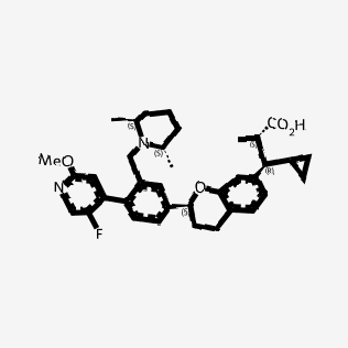 COc1cc(-c2ccc([C@@H]3CCc4ccc([C@H](C5CC5)[C@H](C)C(=O)O)cc4O3)cc2CN2[C@@H](C)CCC[C@@H]2C)c(F)cn1